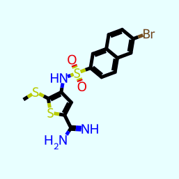 CSc1sc(C(=N)N)cc1NS(=O)(=O)c1ccc2cc(Br)ccc2c1